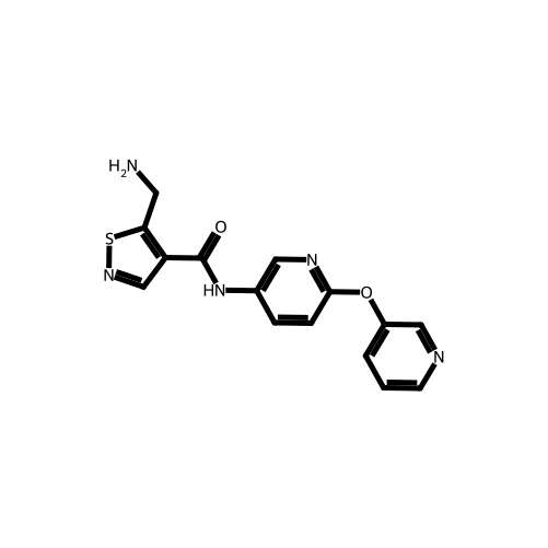 NCc1sncc1C(=O)Nc1ccc(Oc2cccnc2)nc1